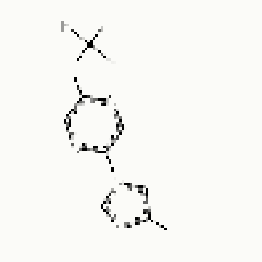 Cc1cn(-c2cnc(OC(F)(F)F)cn2)cn1